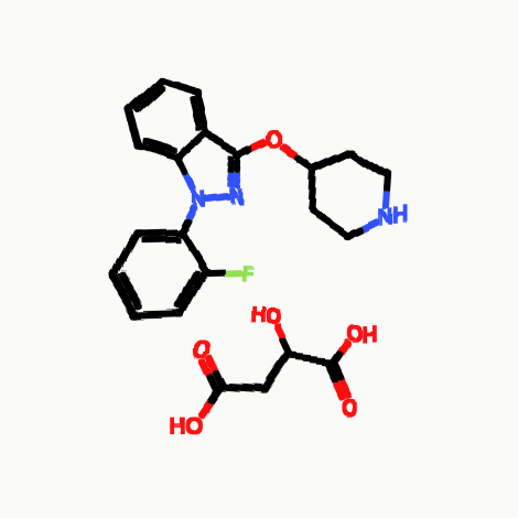 Fc1ccccc1-n1nc(OC2CCNCC2)c2ccccc21.O=C(O)CC(O)C(=O)O